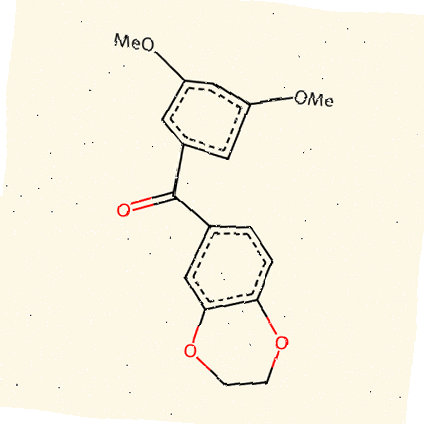 COc1cc(OC)cc(C(=O)c2ccc3c(c2)OCCO3)c1